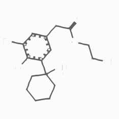 CCc1cc(CC(=O)OCCO)cc(C2(C)CCCCC2)c1O